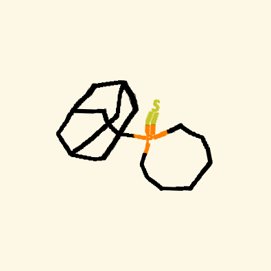 S=P1(C23CC4CC(CC(C4)C2)C3)CCCCCC1